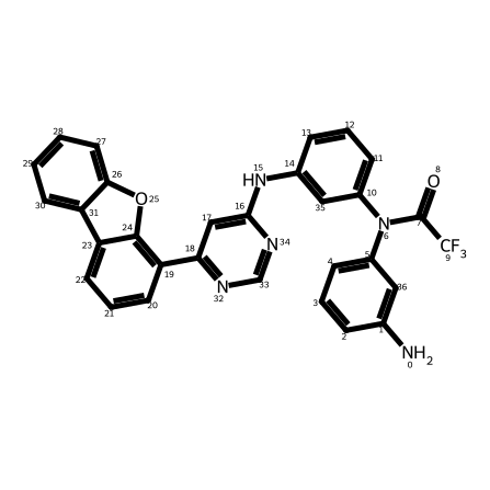 Nc1cccc(N(C(=O)C(F)(F)F)c2cccc(Nc3cc(-c4cccc5c4oc4ccccc45)ncn3)c2)c1